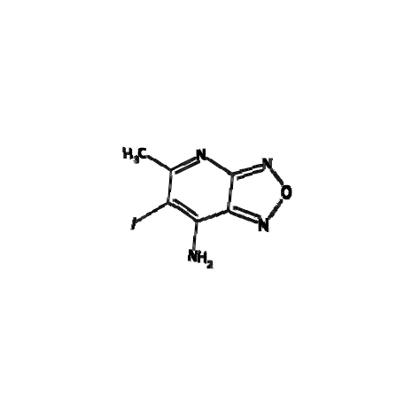 Cc1nc2nonc2c(N)c1I